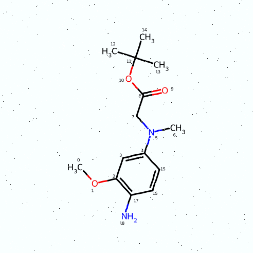 COc1cc(N(C)CC(=O)OC(C)(C)C)ccc1N